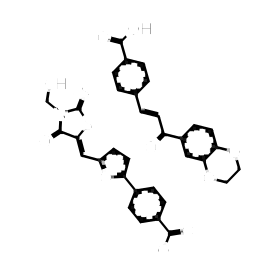 CCN1C(=O)C(=Cc2ccc(-c3ccc(C(=O)O)cc3)o2)SC1=S.O=C(O)c1ccc(C=CC(=O)c2ccc3c(c2)OCCO3)cc1